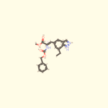 CCc1cc(/C=C(\NC(=O)OCc2ccccc2)C(=O)OC)cc2cn[nH]c12